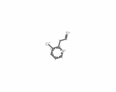 O=CCc1ncccc1Cl